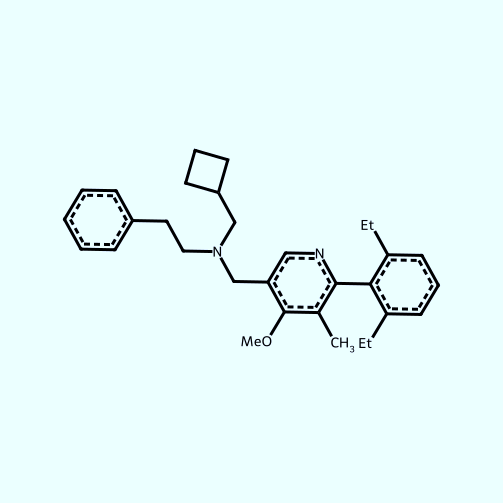 CCc1cccc(CC)c1-c1ncc(CN(CCc2ccccc2)CC2CCC2)c(OC)c1C